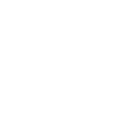 C=C(Nc1ccc(C)cc1)c1cccs1